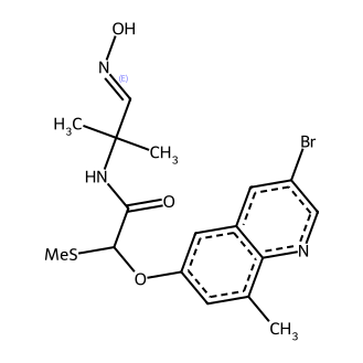 CSC(Oc1cc(C)c2ncc(Br)cc2c1)C(=O)NC(C)(C)/C=N/O